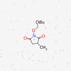 CC(C)COCON1C(=O)CC(C)C1=O